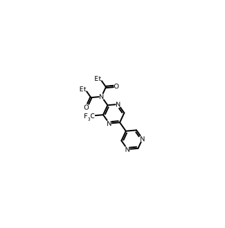 CCC(=O)N(C(=O)CC)c1ncc(-c2cncnc2)nc1C(F)(F)F